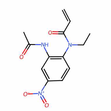 C=CC(=O)N(CC)c1ccc([N+](=O)[O-])cc1NC(C)=O